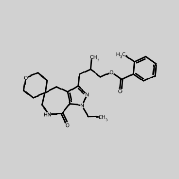 CCn1nc(CC(C)COC(=O)c2ccccc2C)c2c1C(=O)NCC1(CCOCC1)C2